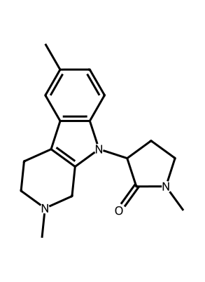 Cc1ccc2c(c1)c1c(n2C2CCN(C)C2=O)CN(C)CC1